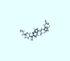 C=C/C(=C\c1c(C)nc(C)n1CC(F)F)c1ccn2nc(NC3CCN(CCF)CC3)ncc12